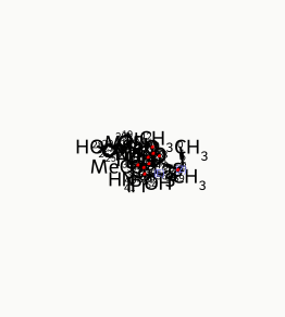 CC#C/C=C\C#C[C@H](OC1OC(C)C(SC)(C(=O)C2=NCCc3c2[nH]c2ccc(O)cc32)C(O)C1OC1CC(OC)C(NC(C)C)CO1)C1=C(NC(=O)OC)C(=O)C[C@H](O)/C1=C/CS(C)(=S)=S